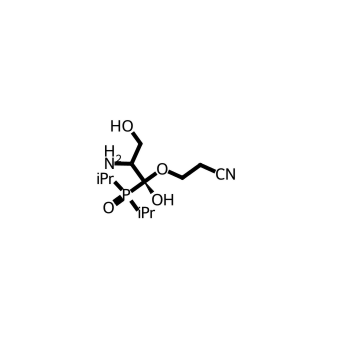 CC(C)P(=O)(C(C)C)[C@@](O)(OCCC#N)C(N)CO